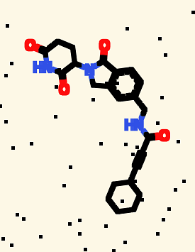 O=C(C#CC1CCCCC1)NCc1ccc2c(c1)CN(C1CCC(=O)NC1=O)C2=O